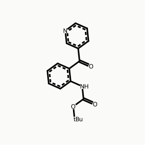 CC(C)(C)OC(=O)Nc1ccccc1C(=O)c1cccnc1